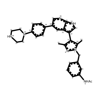 CC(=O)Nc1cccc(Cn2nc(C)c(-c3c[nH]c4ncc(-c5ccc(N6CCNCC6)cc5)cc34)c2C)c1